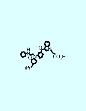 CC(C)Cc1ccc(N(CC(=O)Nc2ccccc2)c2cccc(C(=O)c3cn(CCCC(=O)O)c4ccccc34)c2)cc1